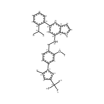 COc1cc(-n2nc(C(F)(F)F)cc2C)ccc1CNc1nc(-c2ccccc2C(C)C)nc2ccoc12